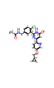 CC(C)C(=O)NCc1ccc(Cl)c(-c2nc(-c3ccc(OCC4CC4)cn3)cc(=O)[nH]2)c1